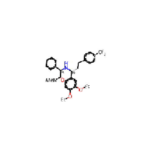 CCOc1ccc([C@@H](CCc2ccc(C(F)(F)F)cc2)N[C@@H](C(=O)NC)c2ccccc2)cc1OCC